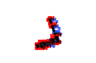 C[C@@H](O)[C@H](N)C(=O)O.C[C@H](N)C(=O)O.C[C@H](N)C(=O)O.NCC(=O)O.NCCCC[C@H](N)C(=O)O.N[C@@H](CC(=O)O)C(=O)O.N[C@@H](CCC(=O)O)C(=O)O.N[C@@H](CCC(=O)O)C(=O)O.N[C@@H](CO)C(=O)O.N[C@@H](Cc1ccc(O)cc1)C(=O)O